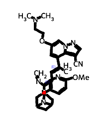 C=N/C(=C\C=C(/C)c1cc(OCCN(C)C)cn2ncc(C#N)c12)N1CC2CC(C1)N2Cc1ccc(OC)nc1